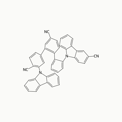 N#Cc1ccc(-c2ccccc2-n2c3ccccc3c3cc(C#N)ccc32)c(-c2ccc(C#N)c(-n3c4ccccc4c4ccccc43)c2)c1